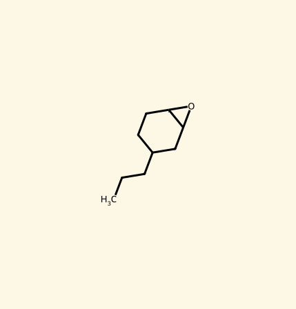 CCCC1CC[C]2OC2C1